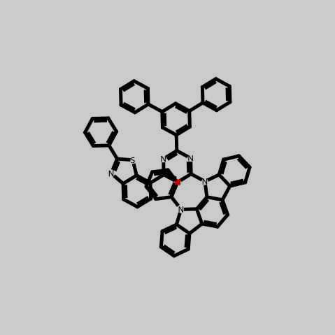 c1ccc(-c2cc(-c3ccccc3)cc(-c3nc(-c4cccc5nc(-c6ccccc6)sc45)nc(-n4c5ccccc5c5ccc6c7ccccc7n(-c7ccccc7)c6c54)n3)c2)cc1